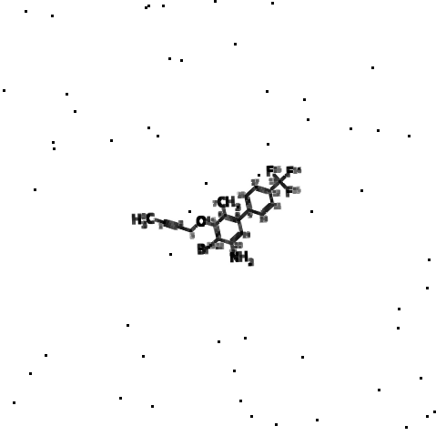 CC#CCOc1c(C)c(-c2ccc(C(F)(F)F)cc2)cc(N)c1Br